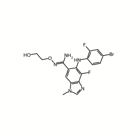 Cn1cnc2c(F)c(Nc3ccc(Br)cc3F)c(C(N)=NOCCO)cc21